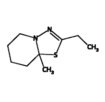 CCC1=NN2CCCCC2(C)S1